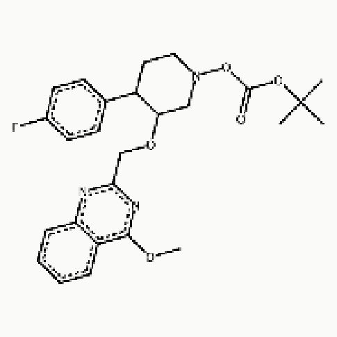 COc1nc(COC2CN(OC(=O)OC(C)(C)C)CCC2c2ccc(F)cc2)nc2ccccc12